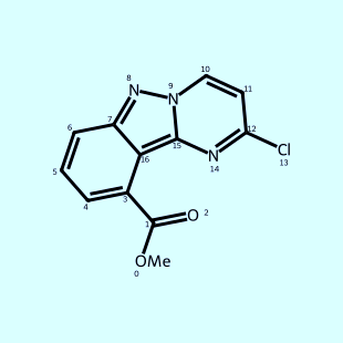 COC(=O)c1cccc2nn3ccc(Cl)nc3c12